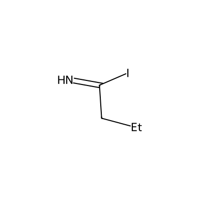 CCCC(=N)I